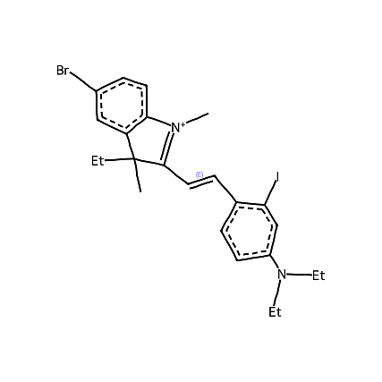 CCN(CC)c1ccc(/C=C/C2=[N+](C)c3ccc(Br)cc3C2(C)CC)c(I)c1